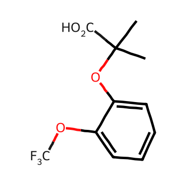 CC(C)(Oc1ccccc1OC(F)(F)F)C(=O)O